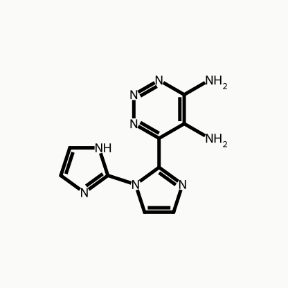 Nc1nnnc(-c2nccn2-c2ncc[nH]2)c1N